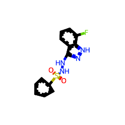 O=S(=O)(NNc1n[nH]c2c(F)cccc12)c1ccccc1